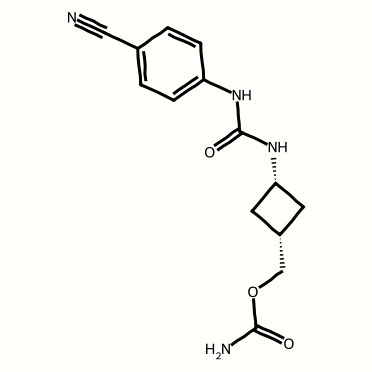 N#Cc1ccc(NC(=O)N[C@H]2C[C@@H](COC(N)=O)C2)cc1